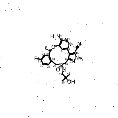 C[C@H]1Oc2cc(nnc2N)-c2c(nn(C)c2C#N)CS(=O)(=NCC(C)(C)O)Cc2ccc(F)cc21